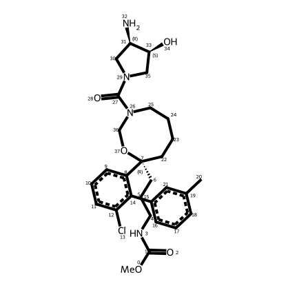 COC(=O)NCCC[C@@]1(c2cccc(Cl)c2-c2cccc(C)c2)CCCCN(C(=O)N2C[C@@H](N)[C@@H](O)C2)CO1